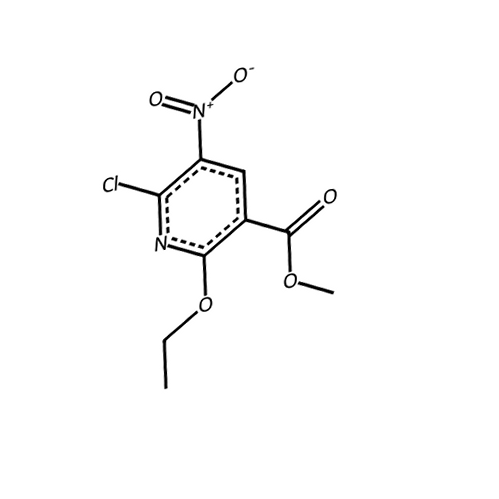 CCOc1nc(Cl)c([N+](=O)[O-])cc1C(=O)OC